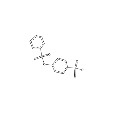 [O]S(=O)(=O)c1ccc(OS(=O)(=O)c2ccccc2)cc1